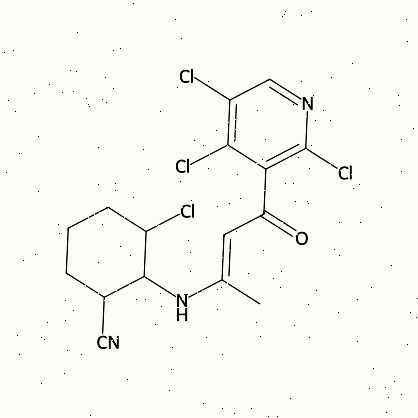 C/C(=C\C(=O)c1c(Cl)ncc(Cl)c1Cl)NC1C(Cl)CCCC1C#N